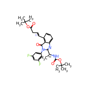 C[C@H](NC(=O)OC(C)(C)C)c1nc2cccc(/C=C/CC(=O)OC(C)(C)C)c2c(=O)n1-c1cc(F)cc(F)c1